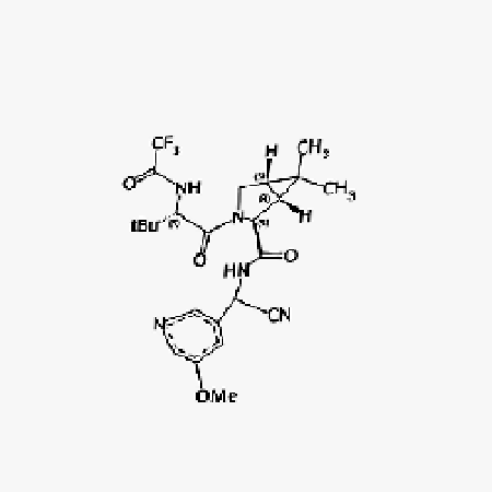 COc1cncc(C(C#N)NC(=O)[C@@H]2[C@@H]3[C@H](CN2C(=O)[C@@H](NC(=O)C(F)(F)F)C(C)(C)C)C3(C)C)c1